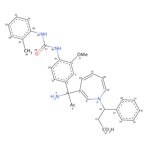 COc1cc(C(N)(C(C)=O)C2=CN(C(CC(=O)O)c3ccccc3)C=CC=C2)ccc1NC(=O)Nc1ccccc1C